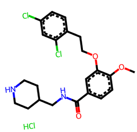 COc1ccc(C(=O)NCC2CCNCC2)cc1OCCc1ccc(Cl)cc1Cl.Cl